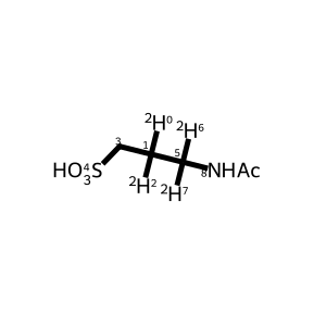 [2H]C([2H])(CS(=O)(=O)O)C([2H])([2H])NC(C)=O